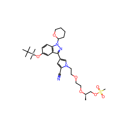 C[C@H](COS(C)(=O)=O)OCCOCCn1cc(-c2nn(C3CCCCO3)c3ccc(O[Si](C)(C)C(C)(C)C)cc23)cc1C#N